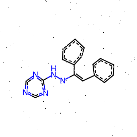 C(=C([N]Nc1ncncn1)c1ccccc1)c1ccccc1